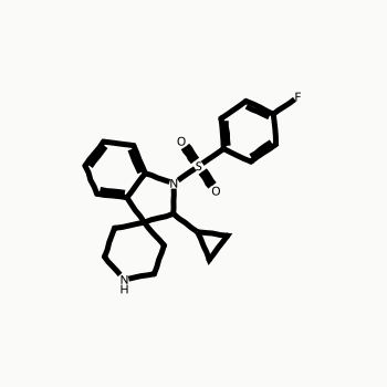 O=S(=O)(c1ccc(F)cc1)N1c2ccccc2C2(CCNCC2)C1C1CC1